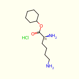 Cl.NCCCC[C@H](N)C(=O)OC1CCCCC1